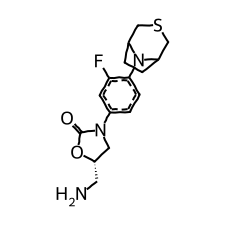 NC[C@H]1CN(c2ccc(N3C4CCC3CSC4)c(F)c2)C(=O)O1